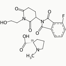 CN1CCC[C@H]1C(=O)O.O=C1CCC(N2C(=O)c3cccc(F)c3C2=O)C(=O)N1CCO